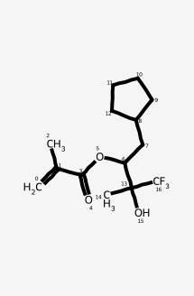 C=C(C)C(=O)OC(CC1CCCC1)C(C)(O)C(F)(F)F